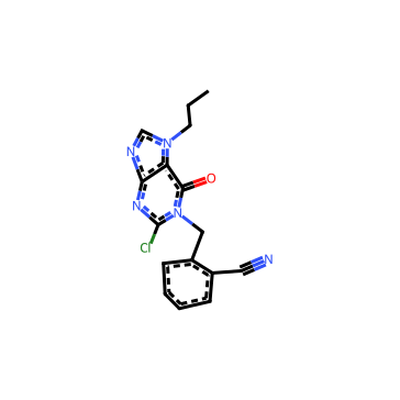 CCCn1cnc2nc(Cl)n(Cc3ccccc3C#N)c(=O)c21